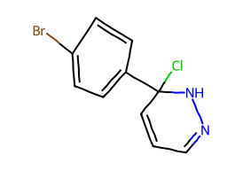 ClC1(c2ccc(Br)cc2)C=CC=NN1